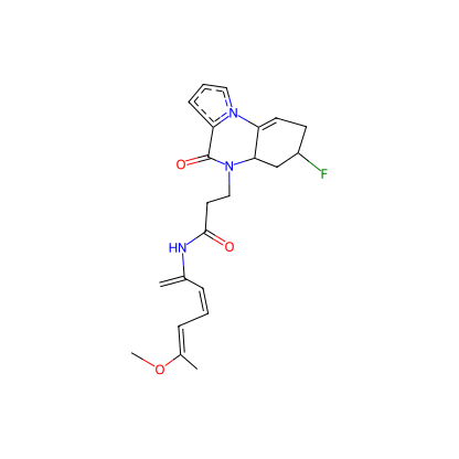 C=C(/C=C\C=C(/C)OC)NC(=O)CCN1C(=O)c2cccn2C2=CCC(F)CC21